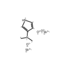 CN(C)c1cc[nH]c1.[O-2].[O-2].[O-2].[Sb+3].[Sb+3]